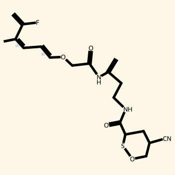 C=C(CCNC(=O)C1CC(C#N)COS1)NC(=O)CO/C=C/C=C(/C)C(=C)F